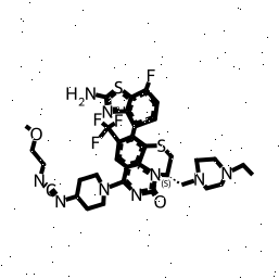 CCN1CCN(C[C@H]2CSc3c(-c4ccc(F)c5sc(N)nc45)c(C(F)(F)F)cc4c(N5CCC(N=C=NCCOC)CC5)nc(=O)n2c34)CC1